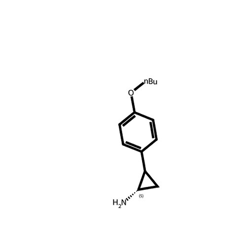 CCCCOc1ccc(C2C[C@@H]2N)cc1